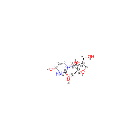 C[C@@]1(O)[C@@H]2OC[C@@]1(CO)O[C@H]2n1ccc(=O)[nH]c1=O